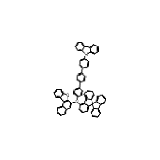 c1ccc2c(c1)-c1ccccc1C21c2ccccc2-c2c(N(c3ccc(-c4ccc(-c5ccc(-n6c7ccccc7c7ccccc76)cc5)cc4)cc3)c3cc4ccccc4c4c3oc3ccccc34)cccc21